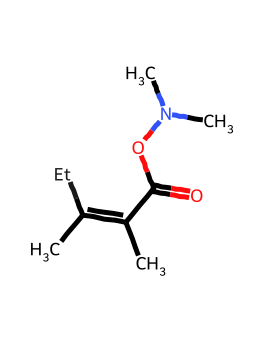 CCC(C)=C(C)C(=O)ON(C)C